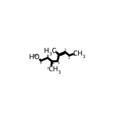 CCC=C(C)CC(C)CCO